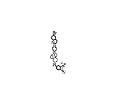 CN(c1ccc(C#N)c(C(F)(F)F)c1)C1CCC(OC(C=O)N2CCN(c3ccc4cc(Br)ccc4n3)CC2)CC1